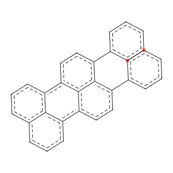 c1ccc(-c2ccc3c4cccc5cccc(c6ccc(-c7ccccc7)c2c36)c54)cc1